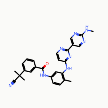 CNc1ncc(-c2nccc(Nc3cc(NC(=O)c4cccc(C(C)(C)C#N)c4)ccc3C)n2)cn1